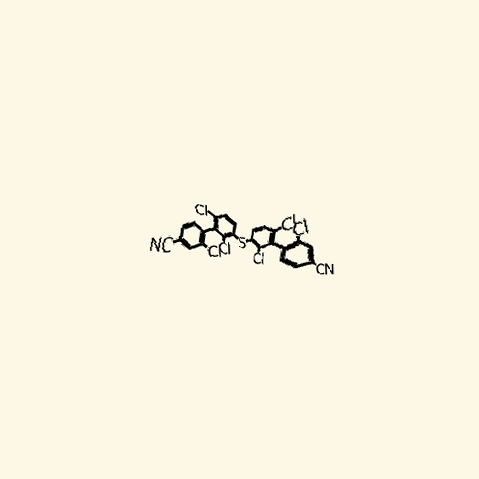 N#Cc1ccc(-c2c(Cl)ccc(Sc3ccc(Cl)c(-c4ccc(C#N)cc4Cl)c3Cl)c2Cl)c(Cl)c1